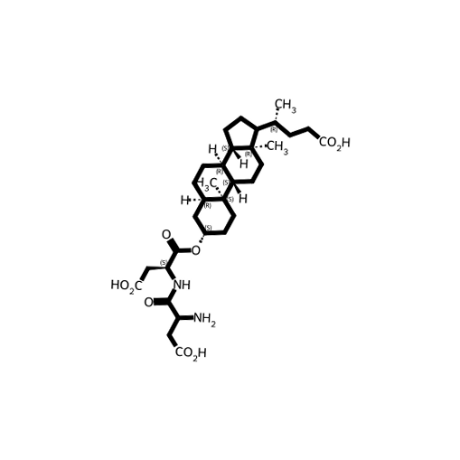 C[C@H](CCC(=O)O)C1CC[C@H]2[C@@H]3CC[C@@H]4C[C@@H](OC(=O)[C@H](CC(=O)O)NC(=O)C(N)CC(=O)O)CC[C@]4(C)[C@H]3CC[C@]12C